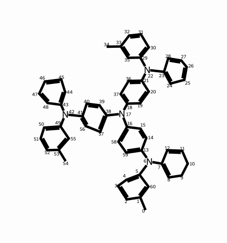 Cc1cccc(N(C2=CCCC=C2)c2ccc(N(c3ccc(N(c4ccccc4)c4cccc(C)c4)cc3)c3ccc(N(c4ccccc4)c4cccc(C)c4)cc3)cc2)c1